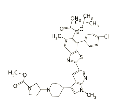 COC(=O)N1CCC(N2CCC(c3cn(C)c4ncc(-c5nc6cc(C)c([C@H](OC(C)(C)C)C(=O)O)c(-c7ccc(Cl)cc7)c6s5)cc34)CC2)C1